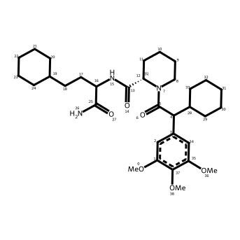 COc1cc(C(C(=O)N2CCCC[C@H]2C(=O)NC(CCC2CCCCC2)C(N)=O)C2CCCCC2)cc(OC)c1OC